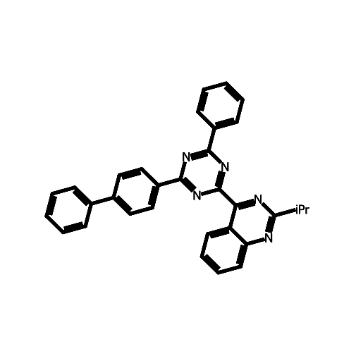 CC(C)c1nc(-c2nc(-c3ccccc3)nc(-c3ccc(-c4ccccc4)cc3)n2)c2ccccc2n1